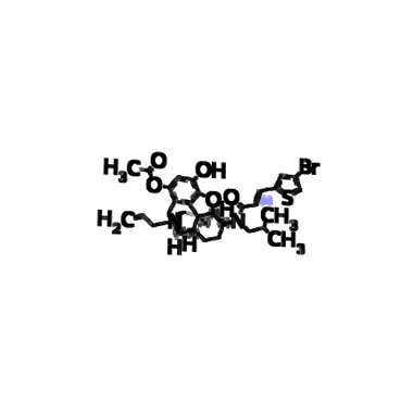 C=CCN1CC[C@]23c4c5c(OC(C)=O)cc(O)c4O[C@H]2[C@@H](N(CC(C)C)C(=O)/C=C/c2cc(Br)cs2)CC[C@H]3[C@H]1C5